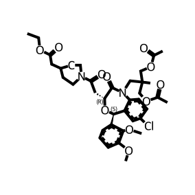 CCOC(=O)CC1CCN(C(=O)C[C@H]2O[C@H](c3cccc(OC)c3OC)c3cc(Cl)ccc3N(CC(C)(COC(C)=O)COC(C)=O)C2=O)CC1